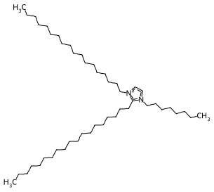 CCCCCCCCCCCCCCCCCCCc1n(CCCCCCCC)cc[n+]1CCCCCCCCCCCCCCCCCC